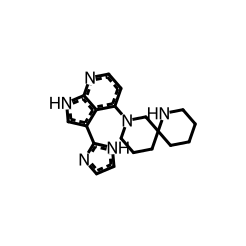 c1c[nH]c(-c2c[nH]c3nccc(N4CCCC5(CCCCN5)C4)c23)n1